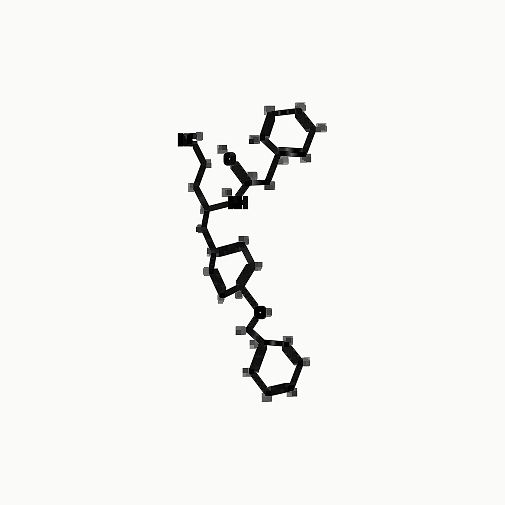 N#CCCC(Cc1ccc(OCc2ccccc2)cc1)NC(=O)Cc1ccccc1